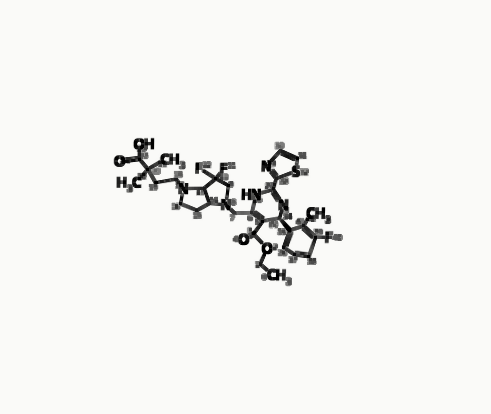 CCOC(=O)C1=C(CN2CC(F)(F)C3C2CCN3CCC(C)(C)C(=O)O)NC(c2nccs2)=N[C@H]1c1cccc(F)c1C